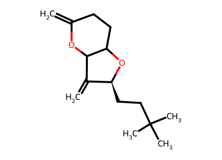 C=C1CCC2O[C@@H](CCC(C)(C)C)C(=C)C2O1